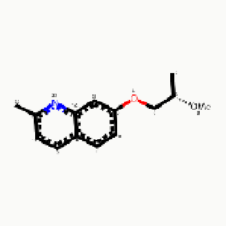 CO[C@@H](C)COc1ccc2ccc(C)nc2c1